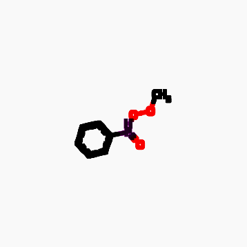 COO[PH](=O)c1ccccc1